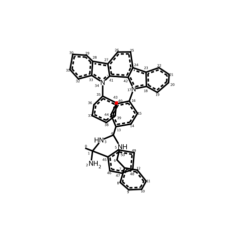 CC(N)(NC(NCc1ccccc1)c1ccc(-n2c3ccccc3c3ccc4c5ccccc5n(-c5ccccc5)c4c32)cc1)c1ccccc1